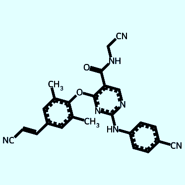 Cc1cc(/C=C/C#N)cc(C)c1Oc1nc(Nc2ccc(C#N)cc2)ncc1C(=O)NCC#N